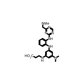 CNCc1ncnc(Nc2ccccc2Nc2cc(NCCC(=O)O)cc(N(C)C)c2)n1